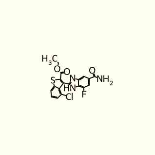 CCOC(=O)c1sc2cccc(Cl)c2c1-c1nc2cc(C(N)=O)cc(F)c2[nH]1